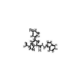 C=C(C)c1cnc2c(NCCn3ccc4ccccc43)nc(-c3cncc(F)c3)cn12